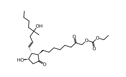 CCCCC(C)(O)C/C=C/[C@H]1[C@H](O)CC(=O)[C@@H]1CCCCCCC(=O)COC(=O)OCC